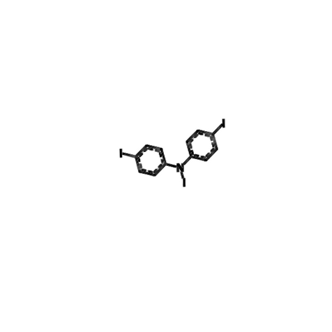 Ic1ccc(N(I)c2ccc(I)cc2)cc1